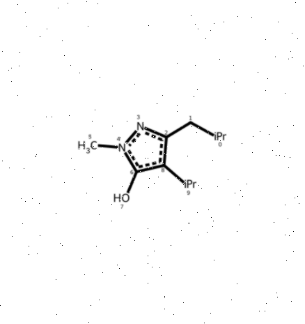 CC(C)Cc1nn(C)c(O)c1C(C)C